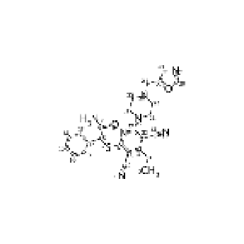 CCc1c(C#N)c(SC(C(N)=O)c2ccccc2)nc(N2CCN(Cc3cnco3)CC2)c1C#N